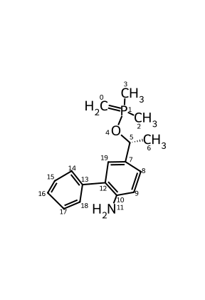 C=P(C)(C)O[C@H](C)c1ccc(N)c(-c2ccccc2)c1